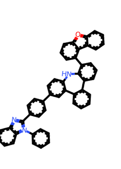 c1ccc(-n2c(-c3ccc(-c4ccc5c(c4)-c4ccccc4-c4cccc(-c6cccc7oc8ccccc8c67)c4N5)cc3)nc3ccccc32)cc1